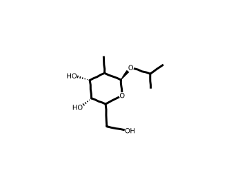 CC(C)O[C@H]1OC(CO)[C@H](O)[C@H](O)C1C